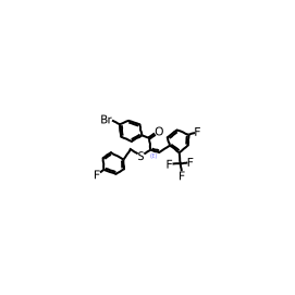 O=C(/C(=C\c1ccc(F)cc1C(F)(F)F)SCc1ccc(F)cc1)c1ccc(Br)cc1